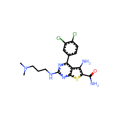 CN(C)CCCNc1nc(-c2ccc(Cl)c(Cl)c2)c2c(N)c(C(N)=O)sc2n1